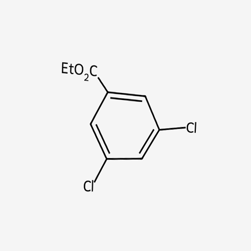 CCOC(=O)c1cc(Cl)cc(Cl)c1